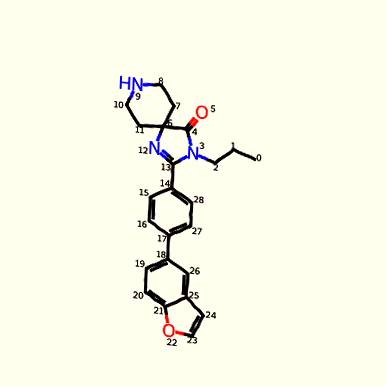 CCCN1C(=O)C2(CCNCC2)N=C1c1ccc(-c2ccc3occc3c2)cc1